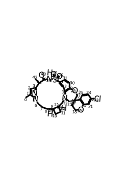 Cc1cc2nn1CCC[C@@H]1CC[C@H]1CN1C[C@@]3(CCOc4cc(Cl)ccc43)COc3ccc(cc31)S(=O)(=O)NC(=O)C2C